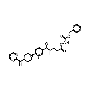 O=C(CCNC(=O)c1ccc(N2CCC(Nc3ncccn3)CC2)c(F)c1)ONC(=O)OCc1ccccc1